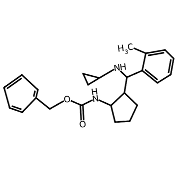 Cc1ccccc1C(NC1CC1)C1CCCC1NC(=O)OCc1ccccc1